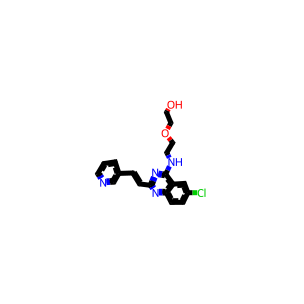 OCCOCCNc1nc(C=Cc2cccnc2)nc2ccc(Cl)cc12